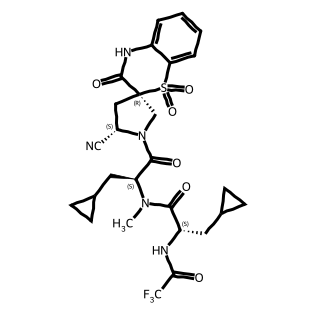 CN(C(=O)[C@H](CC1CC1)NC(=O)C(F)(F)F)[C@@H](CC1CC1)C(=O)N1C[C@]2(C[C@H]1C#N)C(=O)Nc1ccccc1S2(=O)=O